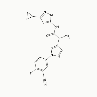 CC(C(=O)Nc1cc(C2CC2)n[nH]1)c1cnn(-c2ccc(F)c(C#N)c2)c1